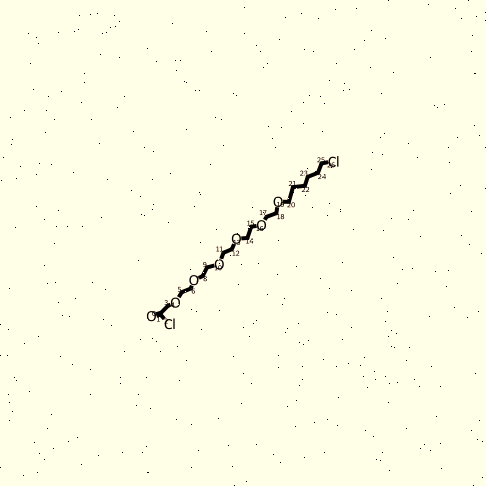 O=C(Cl)COCCOCCOCCOCCOCCOCCCCCCCl